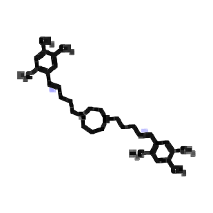 Cc1cc(C)c(/C=C/CCCN2CCCN(CCC/C=C/c3cc(C)c(C)cc3C)CC2)cc1C